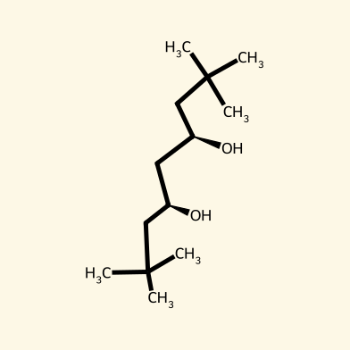 CC(C)(C)C[C@H](O)C[C@H](O)CC(C)(C)C